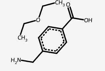 CCOCC.NCc1ccc(C(=O)O)cc1